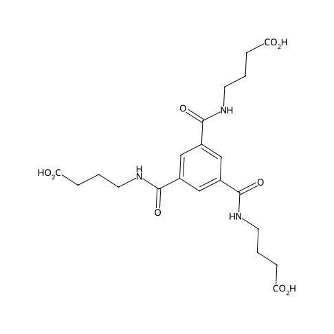 O=C(O)CCCNC(=O)c1cc(C(=O)NCCCC(=O)O)cc(C(=O)NCCCC(=O)O)c1